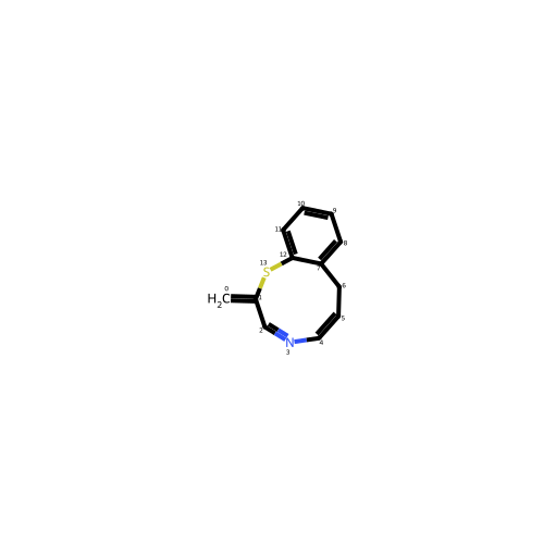 C=C1/C=N\C=C/Cc2ccccc2S1